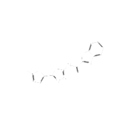 O=C(Nc1nnc(-c2ccc(Br)s2)o1)c1nc2ccccc2s1